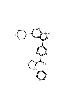 O=C(c1ncc(-c2c[nH]c3ncc(N4CCOCC4)cc23)cn1)N1CCC[C@H]1c1ccccc1